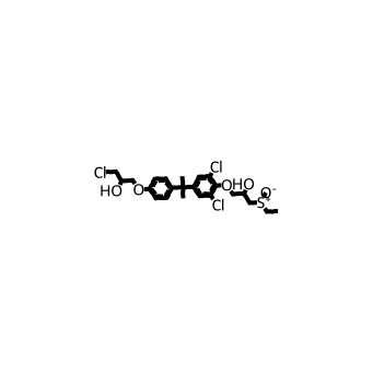 CC[S+]([O-])CC(O)COc1c(Cl)cc(C(C)(C)c2ccc(OCC(O)CCl)cc2)cc1Cl